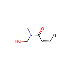 CC/C=C\C(=O)N(C)CO